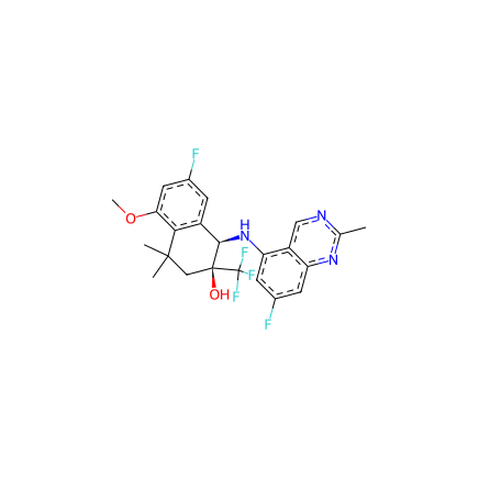 COc1cc(F)cc2c1C(C)(C)C[C@@](O)(C(F)(F)F)[C@@H]2Nc1cc(F)cc2nc(C)ncc12